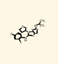 CC(C)Nc1ncc2nc(Nc3ccc(F)cc3F)n([C@H]3CCOC3)c2n1